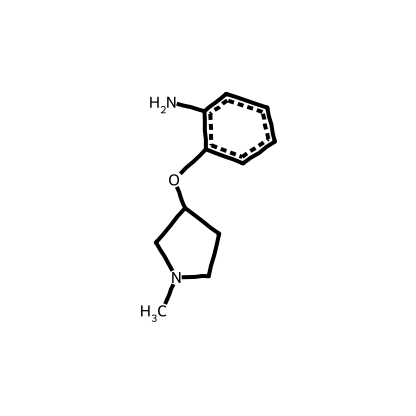 CN1CCC(Oc2ccccc2N)C1